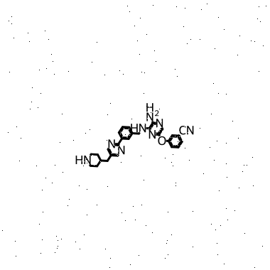 N#Cc1cccc(Oc2cnc(N)c(NCc3cccc(-c4ncc(CC5CCNCC5)cn4)c3)n2)c1